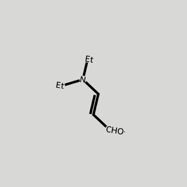 CCN(C=C[C]=O)CC